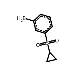 Bc1cccc(S(=O)(=O)C2CC2)c1